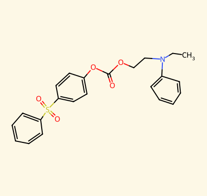 CCN(CCOC(=O)Oc1ccc(S(=O)(=O)c2ccccc2)cc1)c1ccccc1